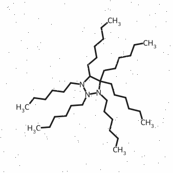 CCCCCCC1N(CCCCCC)N(CCCCCC)N(CCCCCC)C1(CCCCCC)CCCCCC